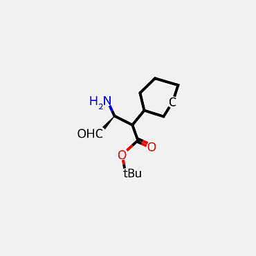 CC(C)(C)OC(=O)C(C1CCCCC1)[C@H](N)C=O